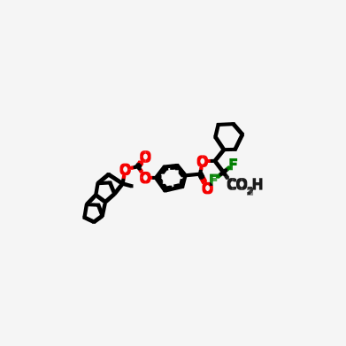 CC1(OC(=O)Oc2ccc(C(=O)OC(C3CCCCC3)C(F)(F)C(=O)O)cc2)CC2CC1C1C3CCC(C3)C21